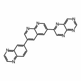 c1cnc2cc(-c3cnc4ncc(-c5cnc6ncncc6n5)cc4c3)ccc2n1